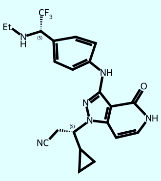 CCN[C@@H](c1ccc(Nc2nn([C@@H](CC#N)C3CC3)c3cc[nH]c(=O)c23)cc1)C(F)(F)F